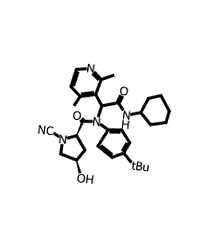 Cc1ccnc(C)c1C(C(=O)NC1CCCCC1)N(C(=O)[C@H]1C[C@@H](O)CN1C#N)c1ccc(C(C)(C)C)cc1